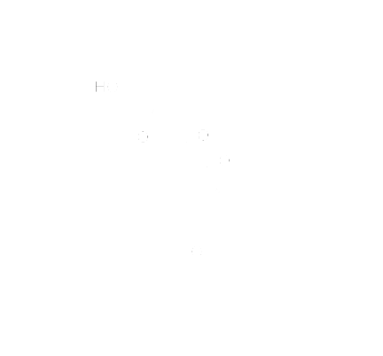 COc1cc(O)ccc1/C=C/C(=O)CC(=O)/C=C/c1cc(OCc2ccccc2)ccc1-c1ccccc1